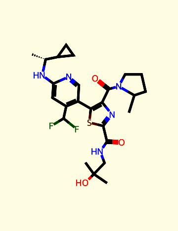 CC1CCCN1C(=O)c1nc(C(=O)NCC(C)(C)O)sc1-c1cnc(N[C@H](C)C2CC2)cc1C(F)F